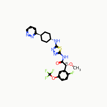 CO[C@@H](C(=O)Nc1nnc(N[C@H]2CC[C@H](c3cccnn3)CC2)s1)c1cc(OC(F)(F)F)ccc1F